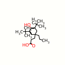 CCCC1(CCC(=O)O)C=C(C(C)(C)C)C(O)=C(C(C)(C)C)C1